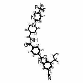 CCC(C)c1cc(C#N)cc2nc(-c3ccc(C(=O)NCC4CCN(c5ccc(C(F)(F)F)cn5)CC4)cc3)oc12